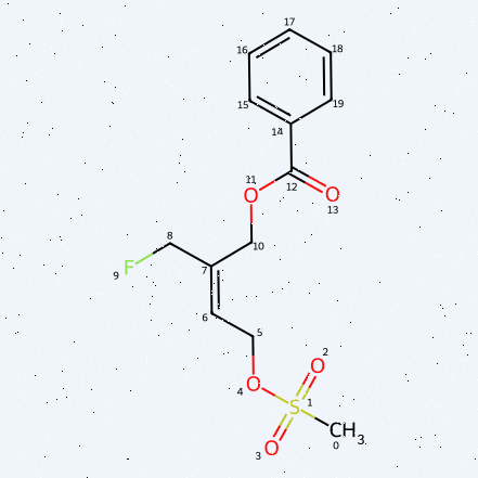 CS(=O)(=O)OC/C=C(/CF)COC(=O)c1ccccc1